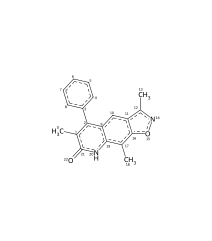 Cc1c(-c2ccccc2)c2cc3c(C)noc3c(C)c2[nH]c1=O